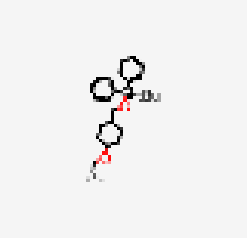 CC(=O)COC1CCC(CO[Si](c2ccccc2)(c2ccccc2)C(C)(C)C)CC1